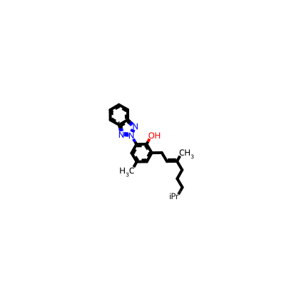 C/C(=C\Cc1cc(C)cc(-n2nc3ccccc3n2)c1O)CCCC(C)C